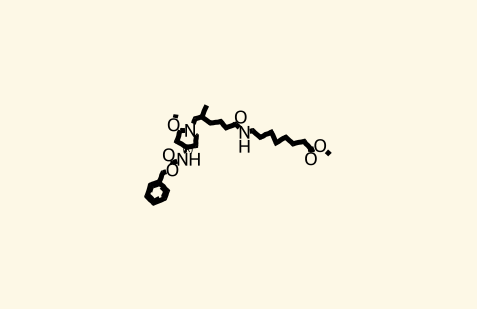 COC(=O)CCCCCCCNC(=O)CCCC(C)CN1CC[C@@H](NC(=O)OCc2ccccc2)CC1OC